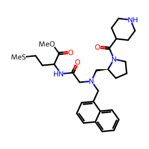 COC(=O)C(CCSC)NC(=O)CN(Cc1cccc2ccccc12)C[C@@H]1CCCN1C(=O)C1CCNCC1